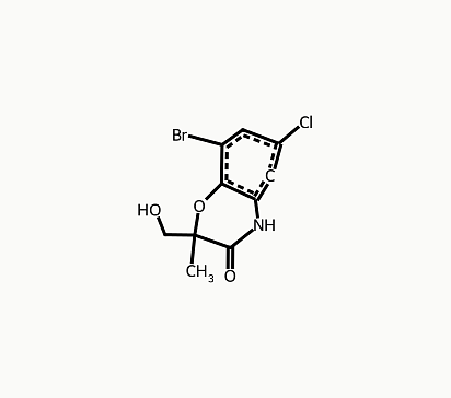 CC1(CO)Oc2c(Br)cc(Cl)cc2NC1=O